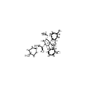 CC(C)(C)C[C@H]1N[C@@H](C(=O)N[C@H]2CC[C@H](O)CC2)[C@H](c2cccc(Cl)c2F)[C@@]12C(=O)Oc1cc(F)ccc12